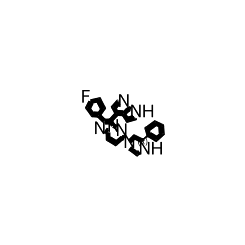 Fc1ccc(-c2nc3ccc(N4CCN[C@H](c5ccccc5)C4)nn3c2-c2ccnc3[nH]ccc23)cc1